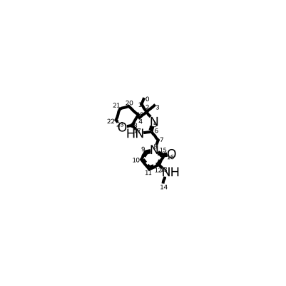 CCC(C)(C)/N=C(/Cn1cccc(NC)c1=O)NC1CCCCO1